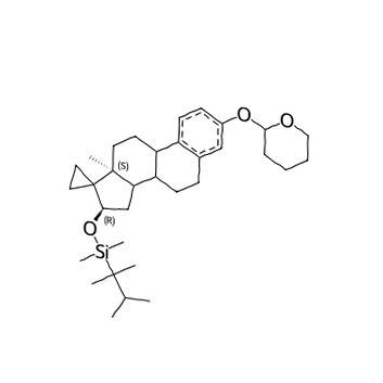 CC(C)C(C)(C)[Si](C)(C)O[C@@H]1CC2C3CCc4cc(OC5CCCCO5)ccc4C3CC[C@]2(C)C12CC2